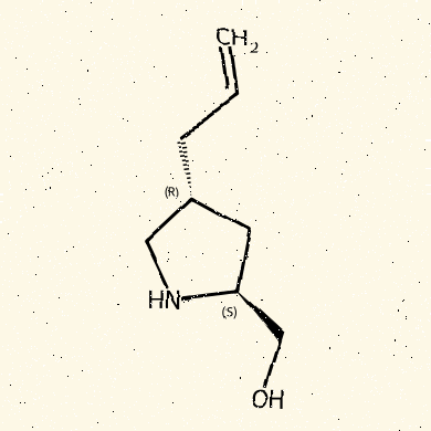 C=CC[C@H]1CN[C@H](CO)C1